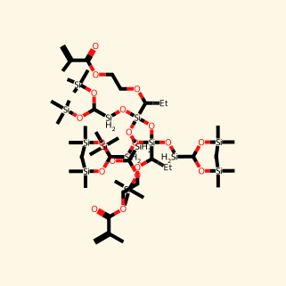 C=C(C)C(=O)OCCOC(CC)[Si](O[SiH2]C(O[Si](C)(C)C)O[Si](C)(C)C)(O[SiH2]C(O[Si](C)(C)C)O[Si](C)(C)C)O[Si](O[SiH2]C(O[Si](C)(C)C)O[Si](C)(C)C)(O[SiH2]C(O[Si](C)(C)C)O[Si](C)(C)C)C(CC)OCCOC(=O)C(=C)C